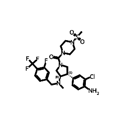 CN(Cc1ccc(C(F)(F)F)c(F)c1)[C@H]1CN(C(=O)N2CCN(S(C)(=O)=O)CC2)C[C@@H]1c1ccc(N)c(Cl)c1